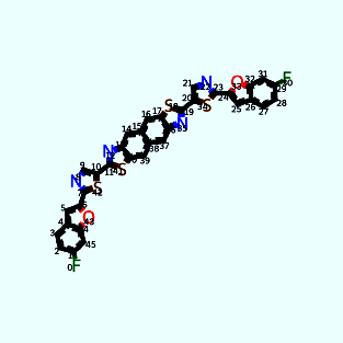 Fc1ccc2cc(-c3ncc(-c4nc5cc6cc7sc(-c8cnc(-c9cc%10ccc(F)cc%10o9)s8)nc7cc6cc5s4)s3)oc2c1